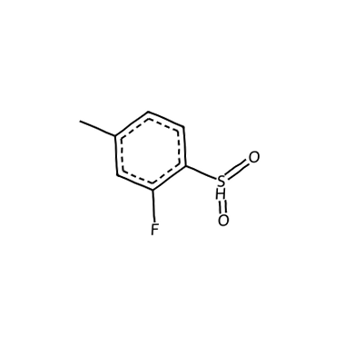 Cc1ccc([SH](=O)=O)c(F)c1